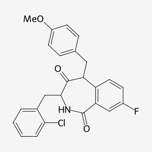 COc1ccc(CC2C(=O)C(Cc3ccccc3Cl)NC(=O)c3cc(F)ccc32)cc1